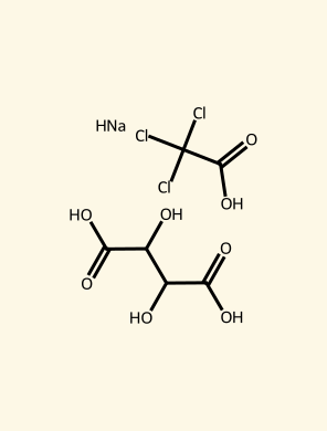 O=C(O)C(Cl)(Cl)Cl.O=C(O)C(O)C(O)C(=O)O.[NaH]